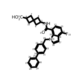 O=C(NC1CC2(C1)CC(C(=O)O)C2)c1ccc(F)c2ccn(Cc3ccc(-c4ccccc4)cc3)c12